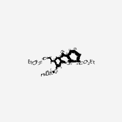 CCCCCCCCCCOc1cc2oc3c(C(=O)OCC)cccc3c(=O)c2cc1CCC(=O)OCC